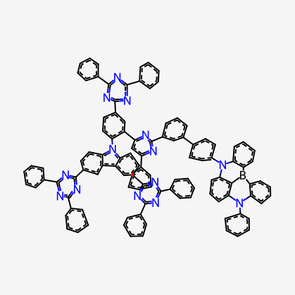 c1ccc(-c2cc(-c3cc(-c4nc(-c5ccccc5)nc(-c5ccccc5)n4)ccc3-n3c4ccc(-c5nc(-c6ccccc6)nc(-c6ccccc6)n5)cc4c4cc(-c5nc(-c6ccccc6)nc(-c6ccccc6)n5)ccc43)nc(-c3cccc(-c4ccc(N5c6ccccc6B6c7ccccc7N(c7ccccc7)c7cccc5c76)cc4)c3)n2)cc1